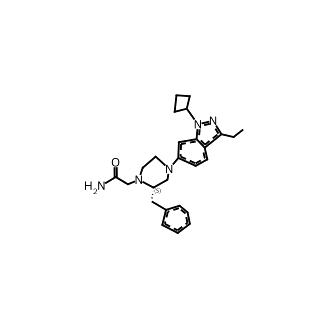 CCc1nn(C2CCC2)c2cc(N3CCN(CC(N)=O)[C@@H](Cc4ccccc4)C3)ccc12